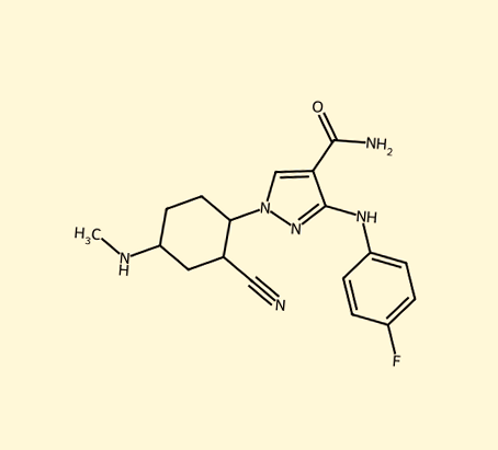 CNC1CCC(n2cc(C(N)=O)c(Nc3ccc(F)cc3)n2)C(C#N)C1